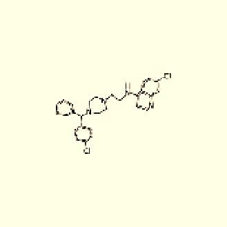 Clc1ccc(C(c2ccccc2)N2CCN(CCNc3ccnc4cc(Cl)ccc34)CC2)cc1